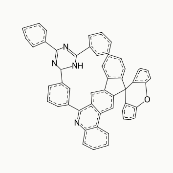 c1ccc(C2=NC(c3cccc(-c4nc5ccccc5c5cc6c(cc45)-c4ccccc4C64c5ccccc5Oc5ccccc54)c3)NC(c3ccccc3)=N2)cc1